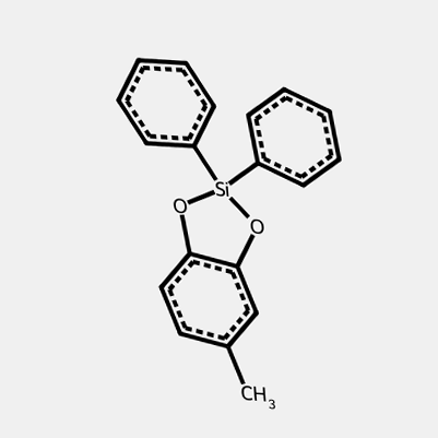 Cc1ccc2c(c1)O[Si](c1ccccc1)(c1ccccc1)O2